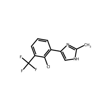 Cc1nc(-c2cccc(C(F)(F)F)c2Cl)c[nH]1